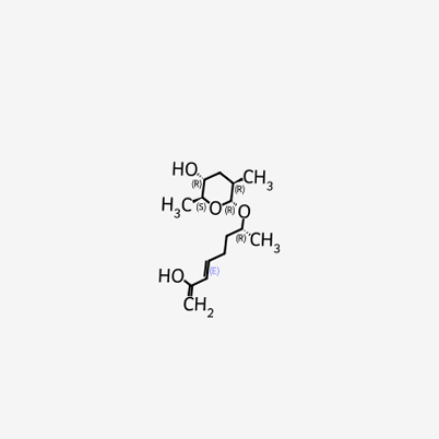 C=C(O)/C=C/CC[C@@H](C)O[C@@H]1O[C@@H](C)[C@H](O)C[C@H]1C